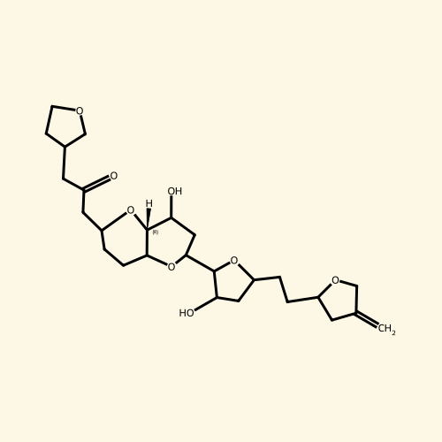 C=C1COC(CCC2CC(O)C(C3CC(O)[C@H]4OC(CC(=O)CC5CCOC5)CCC4O3)O2)C1